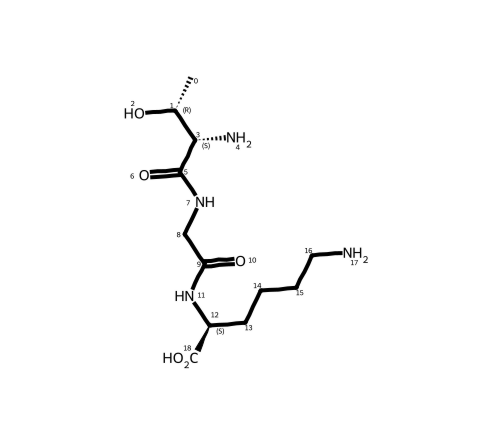 C[C@@H](O)[C@H](N)C(=O)NCC(=O)N[C@@H](CCCCN)C(=O)O